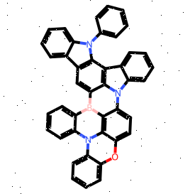 c1ccc(-n2c3ccccc3c3cc4c5c(c6ccccc6n5-c5ccc6c7c5B4c4ccccc4N7c4ccccc4O6)c32)cc1